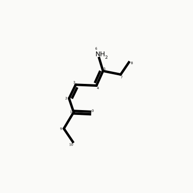 C=C(/C=C\C=C(/N)CC)CC